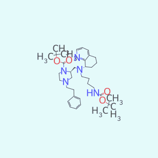 CC(C)(C)OC(=O)NCCCCN(C[C@H]1CN(CCc2ccccc2)CCN1C(=O)OC(C)(C)C)[C@H]1CCCc2cccnc21